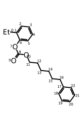 CCc1ccccc1OC(=O)OCCCCCCc1ccccc1